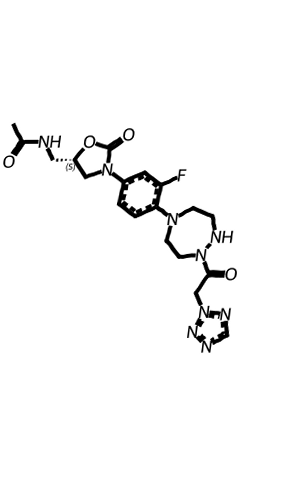 CC(=O)NC[C@H]1CN(c2ccc(N3CCNN(C(=O)Cn4ncnn4)CC3)c(F)c2)C(=O)O1